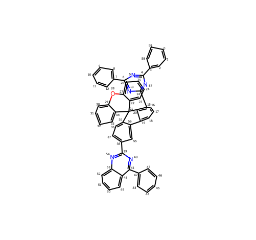 c1ccc(-c2nc(-c3ccccc3)nc(-c3cccc4c3C3(c5ccccc5Oc5ccccc53)c3ccc(-c5nc(-c6ccccc6)c6ccccc6n5)cc3-4)n2)cc1